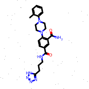 Cc1ccccc1N1CCN(c2ccc(C(=O)NCCCc3nnn[nH]3)cc2C(N)=O)CC1